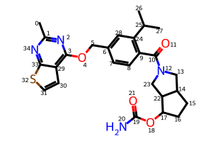 Cc1nc(OCc2ccc(C(=O)N3CC4CCC(OC(N)=O)C4C3)c(C(C)C)c2)c2ccsc2n1